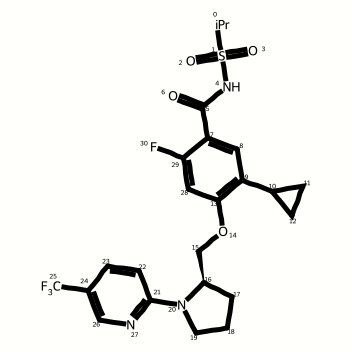 CC(C)S(=O)(=O)NC(=O)c1cc(C2CC2)c(OC[C@H]2CCCN2c2ccc(C(F)(F)F)cn2)cc1F